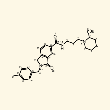 CCCCC1CCCCN1CCCNC(=O)c1ccc2c(c1)C(=O)N(Cc1ccc(C)cc1)C2